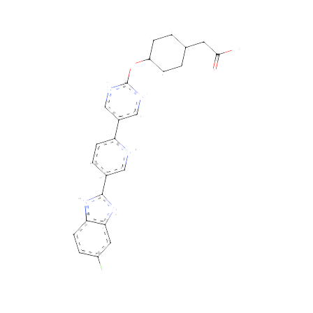 O=C(O)CC1CCC(Oc2ncc(-c3ccc(-c4nc5ccc(F)cc5[nH]4)cn3)cn2)CC1